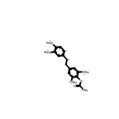 CCCCC(=O)Oc1c(OC)cc(CCc2ccc(OC)c(OC)c2)cc1OC